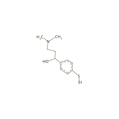 CCSc1ccc(C(O)CCN(C)C)cc1